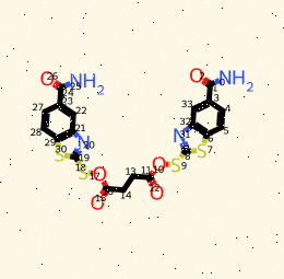 NC(=O)c1ccc2sc(SOC(=O)CCC(=O)OSc3nc4cc(C(N)=O)ccc4s3)nc2c1